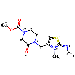 CN=c1scc(CN2CCN(C(=O)OC(C)(C)C)CC2=O)n1C